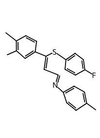 Cc1ccc(N=CC=C(Sc2ccc(F)cc2)c2ccc(C)c(C)c2)cc1